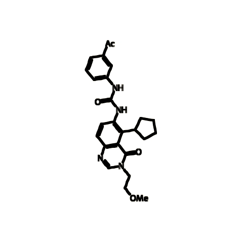 COCCn1cnc2ccc(NC(=O)Nc3cccc(C(C)=O)c3)c(C3CCCC3)c2c1=O